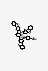 CC(C)(C)c1ccc(Nc2cc3c(cc2-c2ccc4c5cc6c(cc5n5c4c2Bc2cc4sc7ccccc7c4cc2-5)oc2ccccc26)sc2ccccc23)cc1